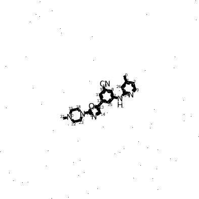 Cc1ccnc(Nc2cc(C#N)cc(-c3cnc(N4CCN(C)CC4)o3)c2)c1